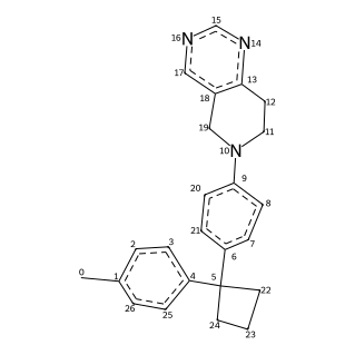 Cc1ccc(C2(c3ccc(N4CCc5ncncc5C4)cc3)CCC2)cc1